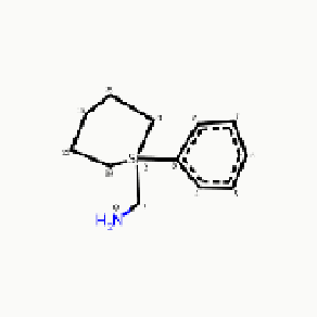 NC[Si]1(c2ccccc2)CCCCC1